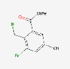 COC(=O)c1cc(C#N)cc(Br)c1CBr